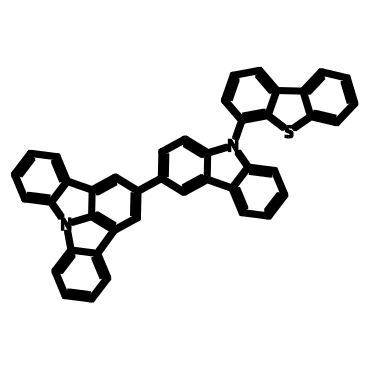 c1ccc2c(c1)sc1c(-n3c4ccccc4c4cc(-c5cc6c7ccccc7n7c8ccccc8c(c5)c67)ccc43)cccc12